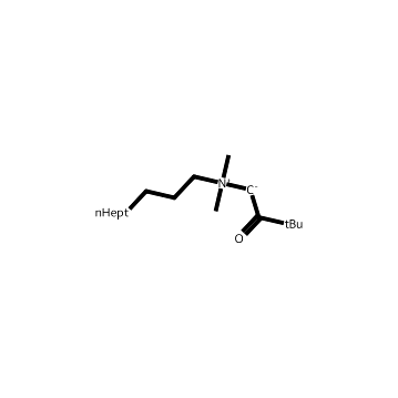 CCCCCCCCCC[N+](C)(C)[CH-]C(=O)C(C)(C)C